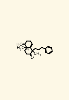 CC1(CCCc2ccccc2)C(=O)CC[C@@]2(C)C1=CCC[C@@H]2O